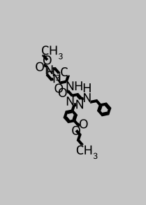 CCCCOC(=O)c1cccc(-c2nc(NCCc3ccccc3)cc(C(=O)NC(CC)C(=O)N3CCN(C(=O)OCC)CC3)n2)c1